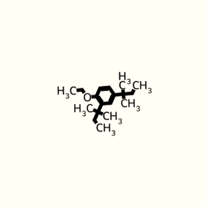 CCOc1ccc(C(C)(C)CC)cc1C(C)(C)CC